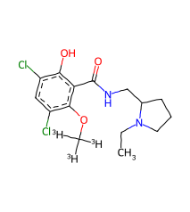 [3H]C([3H])([3H])Oc1c(Cl)cc(Cl)c(O)c1C(=O)NCC1CCCN1CC